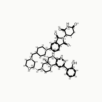 O=C1CCC(N2C(=O)c3ccc(N4CCC(CN5CCO[C@@H](CN6CCN7c8cc(-c9ccccc9O)nnc8NC[C@H]7C6)C5)CC4)cc3C2=O)C(=O)N1